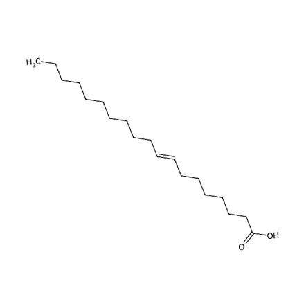 CCCCCCCCCCC=CCCCCCCC(=O)O